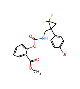 COC(=O)c1ccccc1OC(=O)NCC1(c2ccc(Br)cc2)CC1(F)F